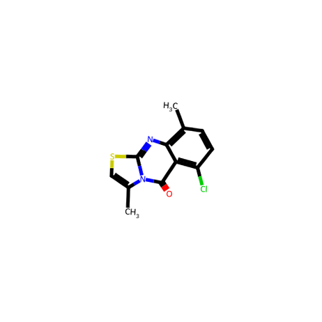 Cc1ccc(Cl)c2c(=O)n3c(C)csc3nc12